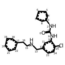 O=C(Nc1ccccc1)Nc1cc(CNCCc2ccccc2)ccc1Cl